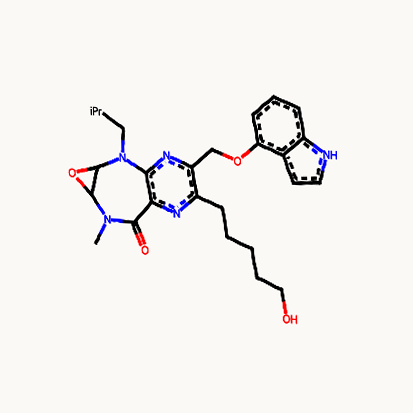 CC(C)CN1c2nc(COc3cccc4[nH]ccc34)c(CCCCCO)nc2C(=O)N(C)C2OC21